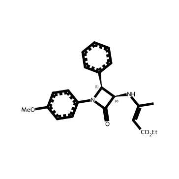 CCOC(=O)C=C(C)N[C@H]1C(=O)N(c2ccc(OC)cc2)[C@H]1c1ccccc1